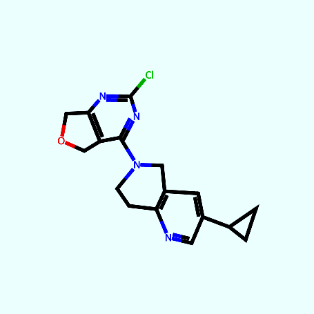 Clc1nc2c(c(N3CCc4ncc(C5CC5)cc4C3)n1)COC2